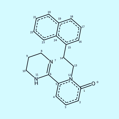 O=c1cccc(C2=NCCCN2)n1CCc1cccc2ccccc12